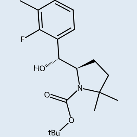 Cc1cccc([C@@H](O)[C@H]2CCC(C)(C)N2C(=O)OC(C)(C)C)c1F